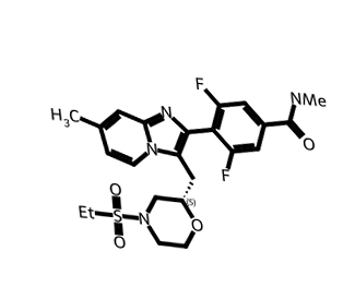 CCS(=O)(=O)N1CCO[C@@H](Cc2c(-c3c(F)cc(C(=O)NC)cc3F)nc3cc(C)ccn23)C1